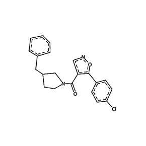 O=C(c1cnoc1-c1ccc(Cl)cc1)N1CCC(Cc2ccccc2)C1